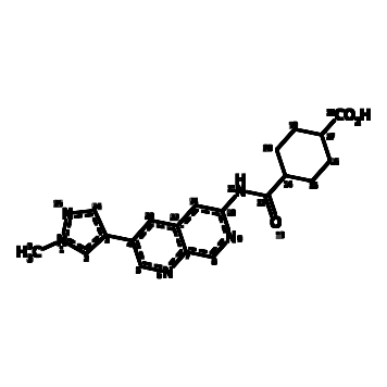 Cn1cc(-c2cnc3cnc(NC(=O)C4CCC(C(=O)O)CC4)cc3c2)cn1